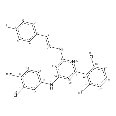 Cc1ccc(C=NNc2nc(Nc3ccc(F)c(Cl)c3)nc(-c3c(F)cccc3Cl)n2)cc1